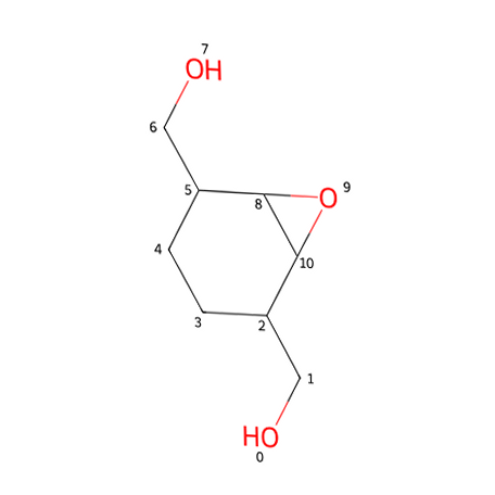 OCC1CCC(CO)C2OC12